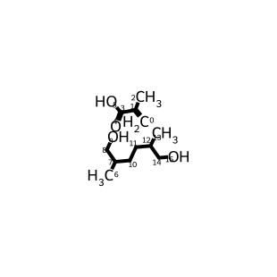 C=C(C)C(=O)O.CC(CO)CCC(C)CO